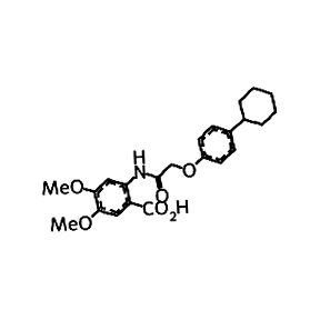 COc1cc(NC(=O)COc2ccc(C3CCCCC3)cc2)c(C(=O)O)cc1OC